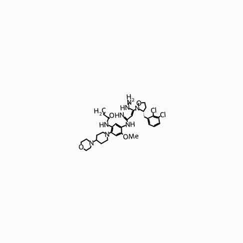 C=CC(=O)Nc1cc(NC(=N)/C=C(\NN)N2OCC[C@@H]2Cc2cccc(Cl)c2Cl)c(OC)cc1N1CCC(N2CCOCC2)CC1